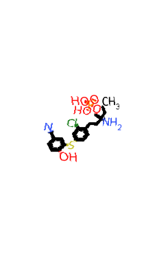 CCC[C@](N)(CCc1ccc(Sc2cc(C#N)ccc2O)cc1Cl)COP(=O)(O)O